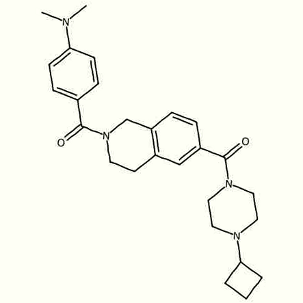 CN(C)c1ccc(C(=O)N2CCc3cc(C(=O)N4CCN(C5CCC5)CC4)ccc3C2)cc1